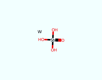 [O]=[Sb]([OH])([OH])[OH].[W]